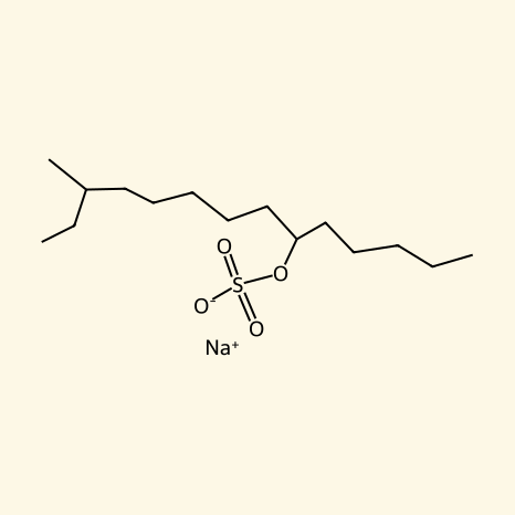 CCCCCC(CCCCCC(C)CC)OS(=O)(=O)[O-].[Na+]